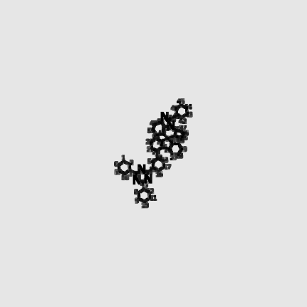 c1ccc(-c2nc(-c3ccccc3)nc(-c3cccc(-c4cccc5c4-c4ccccc4C54c5ccccc5-n5c(-c6ccccc6)nc6cccc4c65)c3)n2)cc1